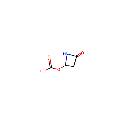 O=C1C[C@H](OC(=O)O)N1